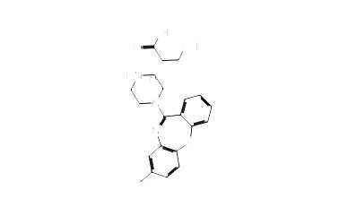 CCC(C(=O)O)[C@@H]1CN(C2=Nc3cc(Cl)ccc3Oc3ccccc32)CCN1